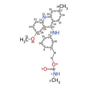 CNC(=O)OCCc1cccc(Nc2c3ccc(C)cc3nc3ccc(OC)cc23)c1